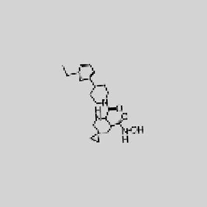 CCc1cccc(C2CCN(C(=O)C3NCC4(CC4)CC3C(=O)NO)CC2)c1